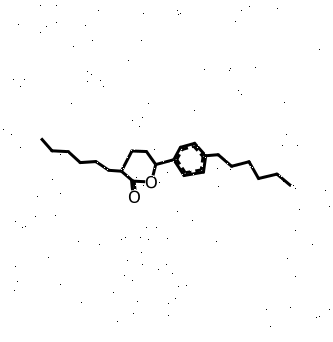 CCCCCCc1ccc(C2CCC(CCCCCC)C(=O)O2)cc1